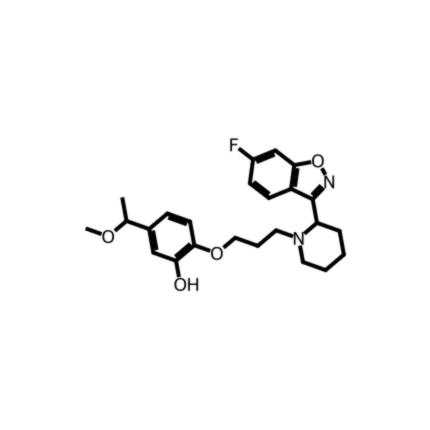 COC(C)c1ccc(OCCCN2CCCCC2c2noc3cc(F)ccc23)c(O)c1